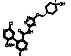 COc1cnc(Cl)cc1-c1cc(C)ncc1C(=O)Nc1nnc(OC[C@H]2CC[C@](C)(O)CC2)s1